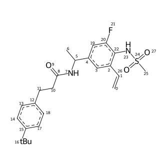 C=Cc1cc(C(C)NC(=O)CCc2ccc(C(C)(C)C)cc2)cc(F)c1NS(C)(=O)=O